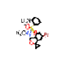 CN([C@@H]1COC2(CC2)c2cc(Br)ccc21)S(=O)(=O)c1ccccc1[N+](=O)[O-]